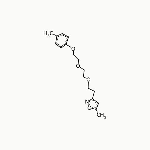 Cc1ccc(OCCOCCOCCc2cc(C)on2)cc1